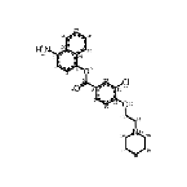 Nc1ccc(OC(=O)c2ccc(OCCN3CCCCC3)c(Cl)c2)c2ccccc12